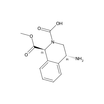 COC(=O)[C@@H]1c2ccccc2[C@@H](N)CN1C(=O)O